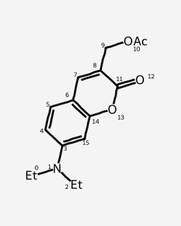 CCN(CC)c1ccc2cc(COC(C)=O)c(=O)oc2c1